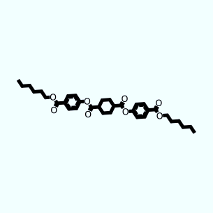 CCCCCCOC(=O)c1ccc(OC(=O)C2CCC(C(=O)Oc3ccc(C(=O)OCCCCCC)cc3)CC2)cc1